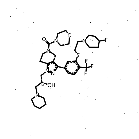 O=C(N1CCOCC1)N1CCc2c(c(-c3ccc(C(F)(F)F)c(SCCN4CCC(F)CC4)c3)nn2C[C@@H](O)CN2CCCCC2)C1